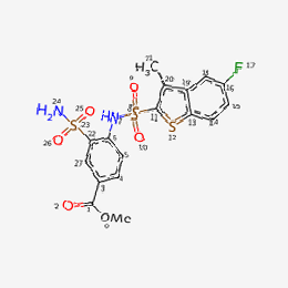 COC(=O)c1ccc(NS(=O)(=O)c2sc3ccc(F)cc3c2C)c(S(N)(=O)=O)c1